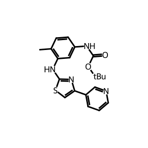 Cc1ccc(NC(=O)OC(C)(C)C)cc1Nc1nc(-c2cccnc2)cs1